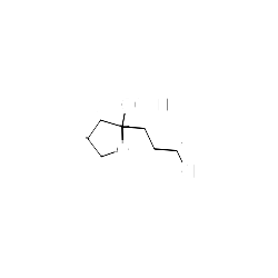 O=C(O)C1(CCCCl)CCCO1